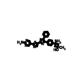 C[C@]1(O)C[C@@](N)(c2ccc(-c3nc(-c4cnc(-c5cnc(N)nc5)s4)sc3-c3ccccc3)cc2)C1